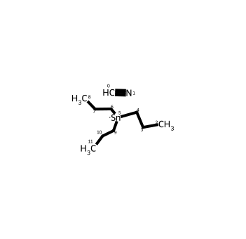 C#N.CC[CH2][Sn]([CH2]CC)[CH2]CC